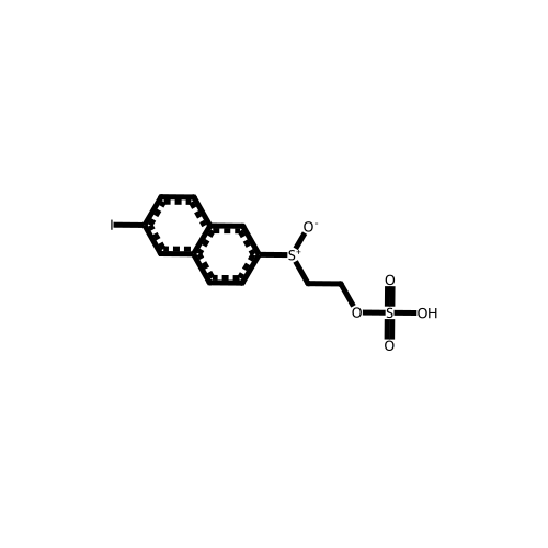 O=S(=O)(O)OCC[S+]([O-])c1ccc2cc(I)ccc2c1